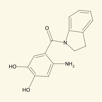 Nc1cc(O)c(O)cc1C(=O)N1CCc2ccccc21